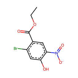 CCOC(=O)c1cc([N+](=O)[O-])c(O)cc1Br